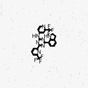 FC(F)(F)c1cc(Nc2nc(-c3cccc(C(F)(F)F)n3)nc(-c3cccc4c3NCC4)n2)ccn1